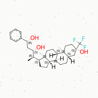 C[C@@H]([C@@H](O)C[C@@H](O)c1ccccc1)[C@@H]1CC[C@H]2[C@@H]3CC[C@H]4C[C@](O)(C(F)(F)F)CC[C@]4(C)[C@H]3CC[C@]12C